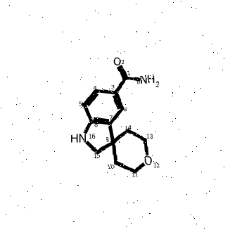 NC(=O)c1ccc2c(c1)C1(CCOCC1)CN2